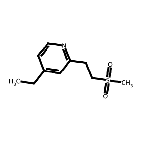 CCc1ccnc(CCS(C)(=O)=O)c1